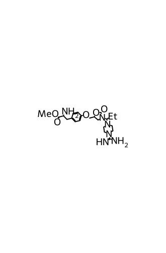 CCC(N1CCN(C(=N)N)CC1)N1CC(COc2ccc(CC(N)C(=O)OC)cc2)OC1=O